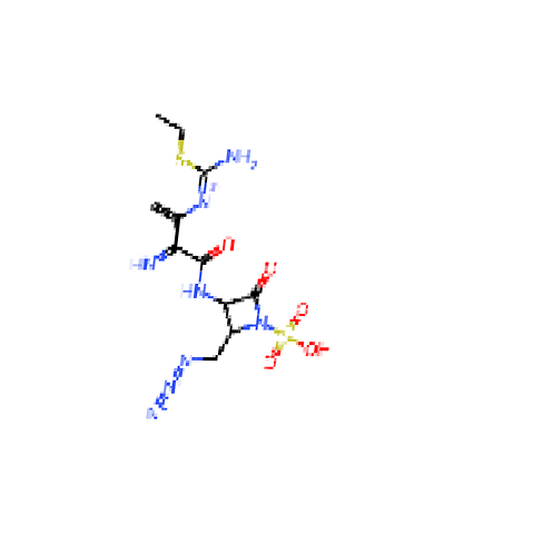 C=C(/N=C(/N)SCC)C(=N)C(=O)NC1C(=O)N(S(=O)(=O)O)C1CN=[N+]=[N-]